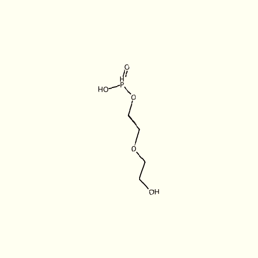 O=[PH](O)OCCOCCO